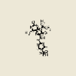 Cc1nc(Cl)nc2c1nc(NCc1ncc(S(C)(=O)=O)cn1)c(=O)n2[C@@H](C)C(F)(F)F